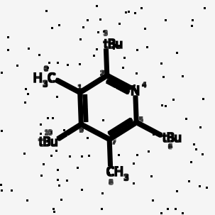 Cc1c(C(C)(C)C)nc(C(C)(C)C)c(C)c1C(C)(C)C